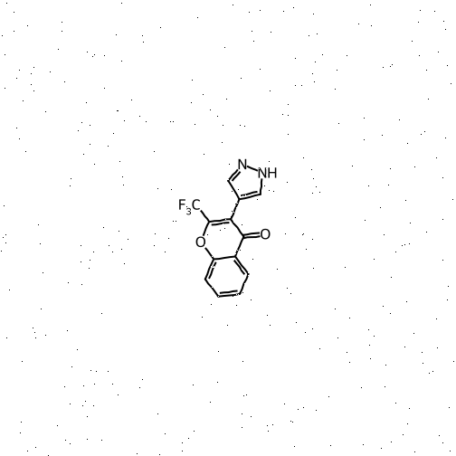 O=c1c(-c2cn[nH]c2)c(C(F)(F)F)oc2ccccc12